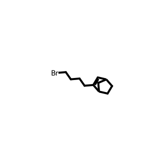 BrCCCCC1=CC2CCC1C2